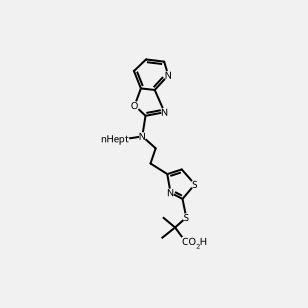 CCCCCCCN(CCc1csc(SC(C)(C)C(=O)O)n1)c1nc2ncccc2o1